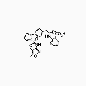 CCC(Cc1ccc(-c2ccccc2S(=O)(=O)Nc2noc(C)c2C)cc1)Nc1ncccc1C(=O)O